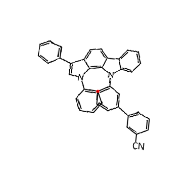 N#Cc1cccc(-c2cccc(-n3c4ccccc4c4ccc5c(-c6ccccc6)cn(-c6ccccc6)c5c43)c2)c1